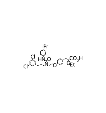 CCOC(Cc1ccc(OCCN(CCCc2cc(Cl)cc(Cl)c2)C(=O)Nc2ccc(C(C)C)cc2)cc1)C(=O)O